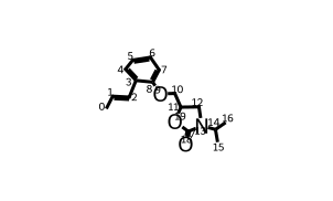 CC=Cc1ccccc1OCC1CN(C(C)C)C(=O)O1